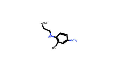 CNCCNc1ccc(N)cc1C#N